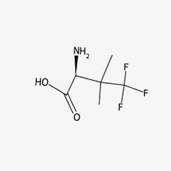 CC(C)([C@H](N)C(=O)O)C(F)(F)F